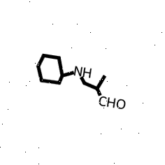 CC(C=O)CNC1CCCCC1